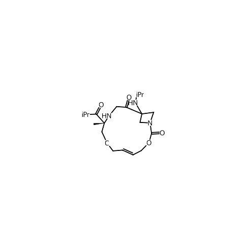 CC(C)NC12CN(C1)C(=O)OC/C=C/CCC[C@](C)(C(=O)C(C)C)NCC2=O